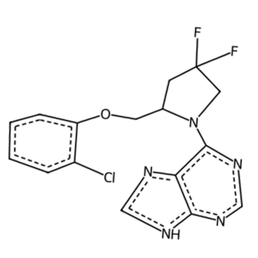 FC1(F)CC(COc2ccccc2Cl)N(c2ncnc3[nH]cnc23)C1